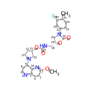 COc1ccc2nccc(N3CCC(OC(=O)NC[C@@H]4CN(c5ccc(C)c(F)c5)C(=O)O4)C3)c2n1